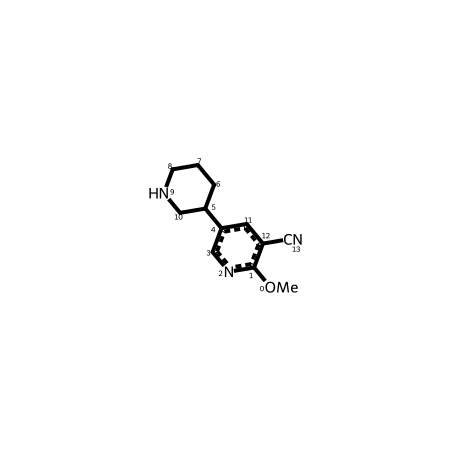 COc1ncc(C2CCCNC2)cc1C#N